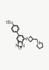 CC(C)(C)c1ccc(-c2cc(N3CC(CN4CCCC4)C3)c3nonc3c2)cc1